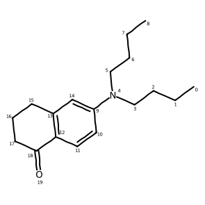 CCCCN(CCCC)c1ccc2c(c1)CCCC2=O